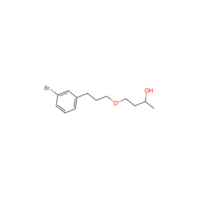 CC(O)CCOCCCc1cccc(Br)c1